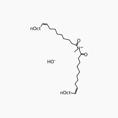 CCCCCCCC/C=C\CCCCCCCC(=O)[N+](C)(C)C(=O)CCCCCCC/C=C\CCCCCCCC.[OH-]